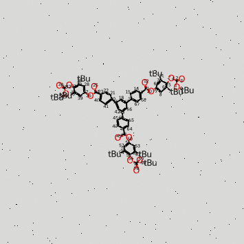 CC(C)(C)OC(=O)Oc1c(C(C)(C)C)cc(OC(=O)c2ccc(-c3cc(-c4ccc(C(=O)Oc5cc(C(C)(C)C)c(OC(=O)OC(C)(C)C)c(C(C)(C)C)c5)cc4)cc(-c4ccc(C(=O)Oc5cc(C(C)(C)C)c(OC(=O)OC(C)(C)C)c(C(C)(C)C)c5)cc4)c3)cc2)cc1C(C)(C)C